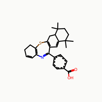 CC1(C)CCC(C)(C)C2CC3=C(C=C21)C(c1ccc(C(=O)O)cc1)=NC1=C(CCC=C1)S3